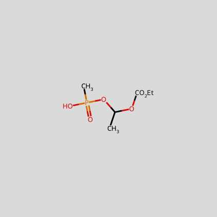 CCOC(=O)OC(C)OP(C)(=O)O